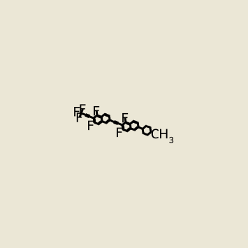 CC1CCC(c2ccc3c(F)c(C#Cc4ccc5c(F)c(C#CC(F)(F)F)c(F)cc5c4)c(F)cc3c2)CC1